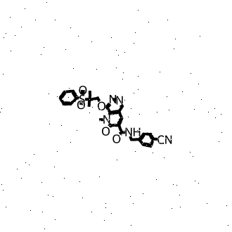 Cn1c(=O)c(C(=O)NCc2ccc(C#N)cc2)cc2cnnc(OCC(C)(C)S(=O)(=O)c3ccccc3)c21